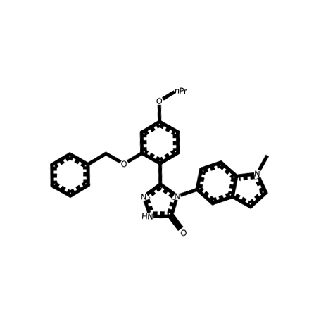 CCCOc1ccc(-c2n[nH]c(=O)n2-c2ccc3c(ccn3C)c2)c(OCc2ccccc2)c1